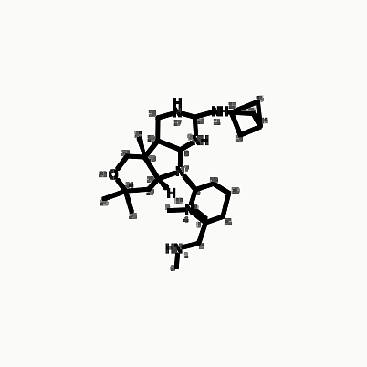 CNCC1=[N+](C)C(N2C3NC(NC45CC(C4)C5)NCC3[C@@]3(C)COC(C)(C)C[C@@H]23)CCC1